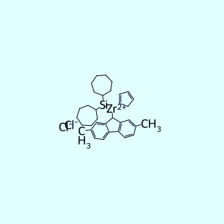 Cc1ccc2c(c1)[CH]([Zr+2]([C]1=CC=CC1)=[Si](C1CCCCCC1)C1CCCCCC1)c1cc(C)ccc1-2.[Cl-].[Cl-]